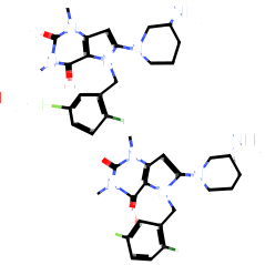 Cn1c(=O)c2c(cc(N3CCCC(N)C3)n2Cc2cc(F)ccc2Cl)n(C)c1=O.Cn1c(=O)c2c(cc(N3CCC[C@@H](N)C3)n2Cc2cc(F)ccc2Cl)n(C)c1=O.O